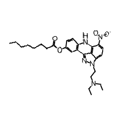 CCCCCCCC(=O)Oc1ccc2c(c1)-c1nn(CCN(CC)CC)c3ccc([N+](=O)[O-])c(c13)N2